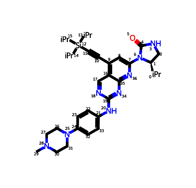 CC(C)[C@@H]1CNC(=O)N1c1cc(C#C[Si](C(C)C)(C(C)C)C(C)C)c2cnc(Nc3ccc(N4CCN(C)CC4)cc3)nc2n1